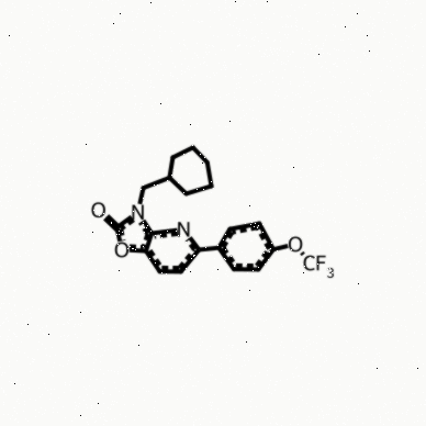 O=c1oc2ccc(-c3ccc(OC(F)(F)F)cc3)nc2n1CC1CCCCC1